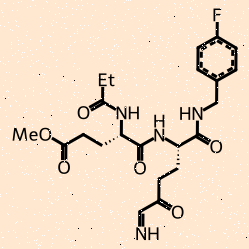 CCC(=O)N[C@@H](CCC(=O)OC)C(=O)N[C@@H](CCC(=O)C=N)C(=O)NCc1ccc(F)cc1